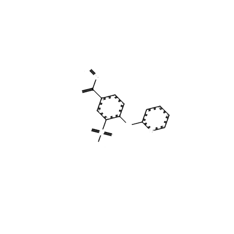 C=NC(=O)c1ccc(Oc2ccccn2)c(S(C)(=O)=O)c1